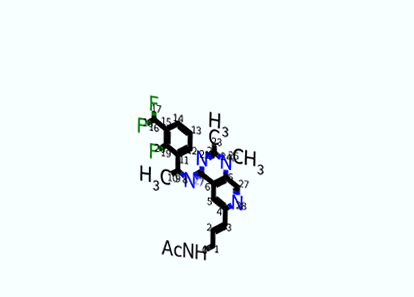 CC(=O)NCC=Cc1cc2/c(=N/C(C)c3cccc(C(F)F)c3F)nc(C)n(C)c2cn1